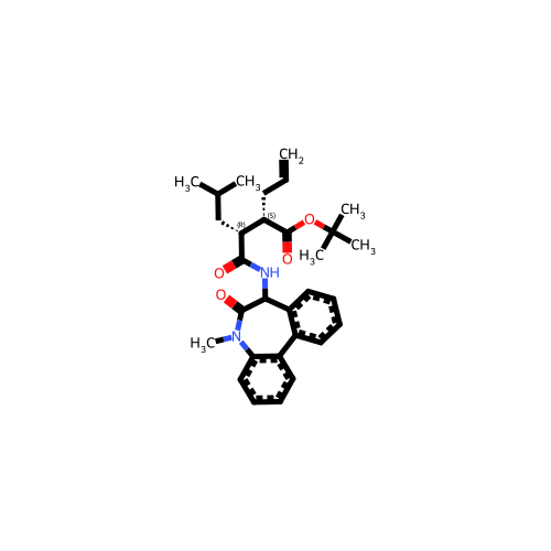 C=CC[C@H](C(=O)OC(C)(C)C)[C@@H](CC(C)C)C(=O)NC1C(=O)N(C)c2ccccc2-c2ccccc21